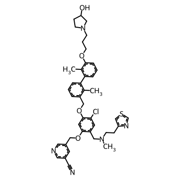 Cc1c(COc2cc(OCc3cncc(C#N)c3)c(CN(C)CCc3cscn3)cc2Cl)cccc1-c1cccc(OCCCN2CCC(O)C2)c1C